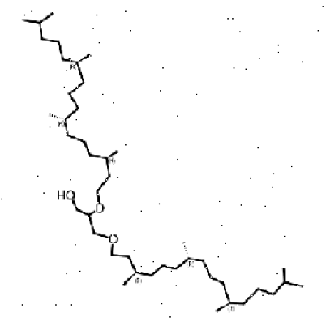 CC(C)CCC[C@@H](C)CCC[C@@H](C)CCC[C@@H](C)CCOCC(CO)OCC[C@H](C)CCC[C@H](C)CCC[C@H](C)CCCC(C)C